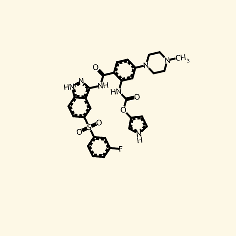 CN1CCN(c2ccc(C(=O)Nc3n[nH]c4ccc(S(=O)(=O)c5cccc(F)c5)cc34)c(NC(=O)Oc3cc[nH]c3)c2)CC1